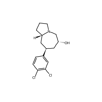 O[C@@H]1C[C@@H](c2ccc(Cl)c(Cl)c2)C[C@@H]2CCCN2C1